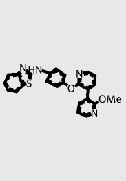 COc1ncccc1-c1cccnc1Oc1ccc(Nc2nc3ccccc3s2)cc1